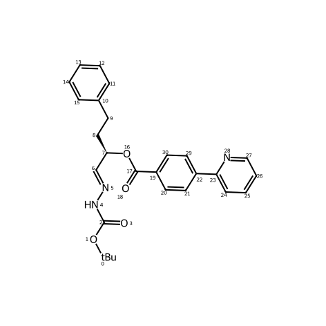 CC(C)(C)OC(=O)NN=C[C@@H](CCc1ccccc1)OC(=O)c1ccc(-c2ccccn2)cc1